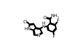 NC(=O)c1c(F)cc(F)cc1Nc1cncc2[nH]c(Cl)cc12